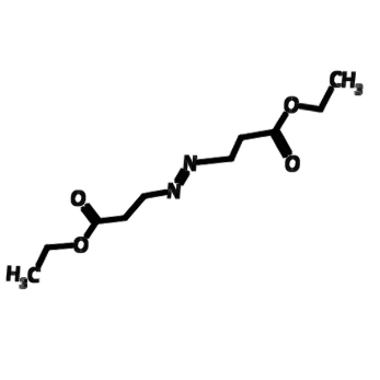 CCOC(=O)CCN=NCCC(=O)OCC